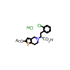 CC(=O)Oc1cc2c(s1)CCN([C@@H](Cc1ccccc1Cl)C(=O)O)C2.Cl